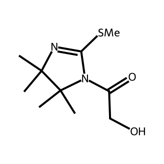 CSC1=NC(C)(C)C(C)(C)N1C(=O)CO